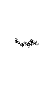 CN(C)C(=O)c1ccc(C2(O)CCN(Cc3cc4c(-c5ccc6c(cnn6C6CCCCO6)c5)ccnc4n3C)CC2)cc1